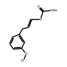 CCOc1cccc(CC=COC(=O)OC)c1